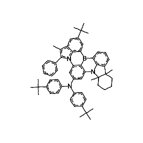 Cc1c(-c2ccccc2)n2c3c(cc(C(C)(C)C)cc13)B1c3cccc4c3N(c3cc(N(c5ccc(C(C)(C)C)cc5)c5ccc(C(C)(C)C)cc5)cc-2c31)C1(C)CCCCC41C